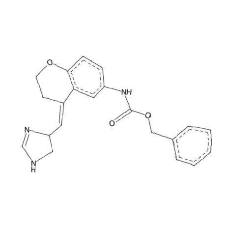 O=C(Nc1ccc2c(c1)/C(=C/C1CNC=N1)CCO2)OCc1ccccc1